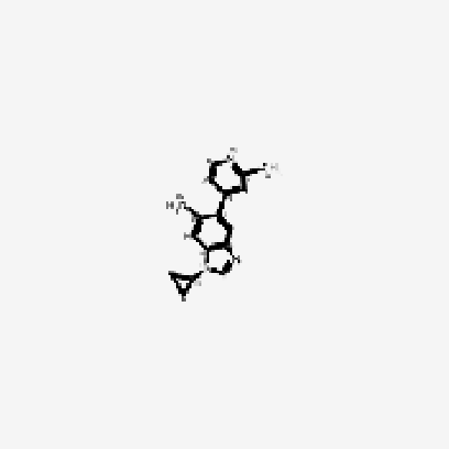 Cc1cc(-c2cc3ncn(C4CC4)c3cc2N)ccn1